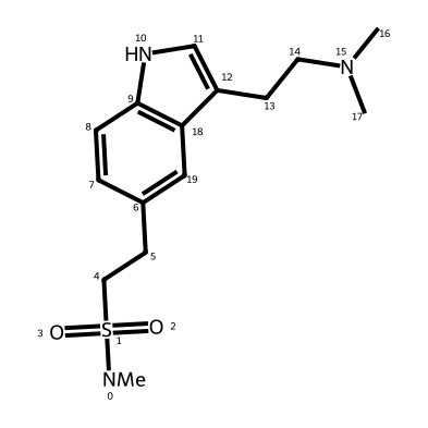 CNS(=O)(=O)CCc1ccc2[nH]cc(CCN(C)C)c2c1